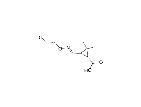 CC1(C)C(/C=N/OCCCl)[C@H]1C(=O)O